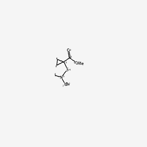 COC(=O)C1(SN(C)C(C)(C)C)CC1